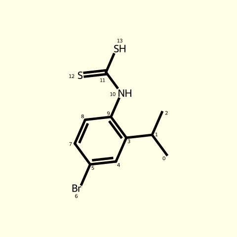 CC(C)c1cc(Br)ccc1NC(=S)S